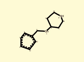 c1ccc([CH2][Sn][CH]2CCNCC2)cc1